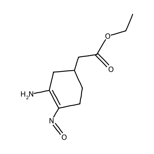 CCOC(=O)CC1CCC(N=O)=C(N)C1